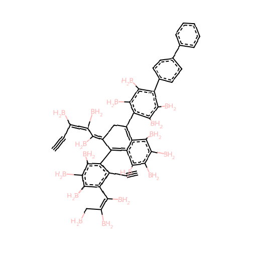 BC/C(B)=C(/B)c1c(B)c(B)c(B)c(C2=c3c(B)c(B)c(B)c(B)c3=C(c3c(B)c(B)c(-c4ccc(-c5ccccc5)cc4)c(B)c3B)C/C2=C(B)\C(B)=C(\B)C#C)c1C#C